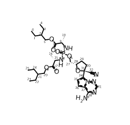 CCC(CC)COC(=O)[C@H](C)NP(=O)(N[C@@H](C)C(=O)OCC(CC)CC)OC[C@@H]1CC[C@](C#N)(c2ccc3c(N)ncnn23)O1